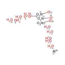 CO.O.O.O.O.O.O.O.O.O.O=[N+]([O-])[O-].O=[N+]([O-])[O-].O=[N+]([O-])[O-].[Al+3]